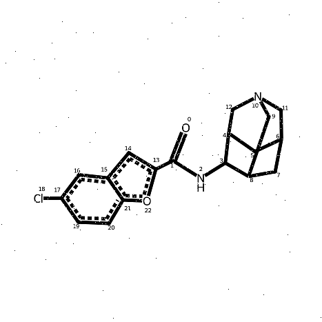 O=C(NC1C2CC3CC1CN(C3)C2)c1cc2cc(Cl)ccc2o1